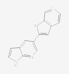 c1cc2cc(-c3cnc4[nH]ccc4c3)[nH]c2cn1